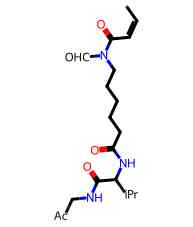 C/C=C\C(=O)N(C=O)CCCCCC(=O)NC(C(=O)NCC(C)=O)C(C)C